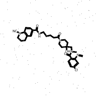 C=Nc1cc(Cl)ccc1C(=O)N(C)CC1(O)CCN(C(=O)CCCCNC(=O)c2ccc3c(c2)CCCN3C#N)CC1